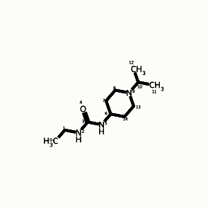 CCNC(=O)NC1CCN(C(C)C)CC1